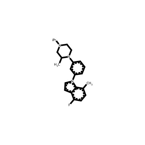 Cc1ccc(F)c2ccn(-c3cccc(N4CCN(C(C)C)CC4C)c3)c12